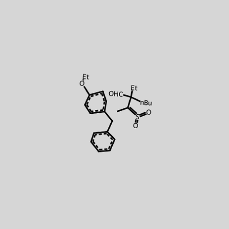 CCCCC(C=O)(CC)C(C)=S(=O)=O.CCOc1ccc(Cc2ccccc2)cc1